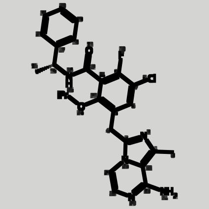 Cc1nc(Cc2cc(Cl)c(F)c(C(=O)N[C@H](C)c3ccccc3)c2OC(C)C)n2ccnc(N)c12